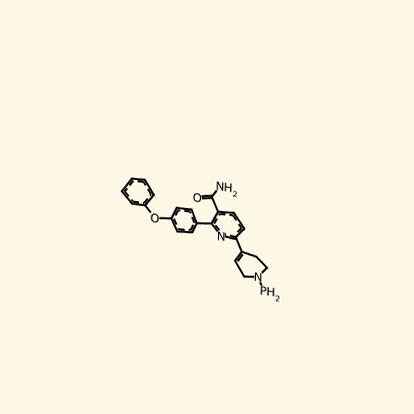 NC(=O)c1ccc(C2=CCN(P)CC2)nc1-c1ccc(Oc2ccccc2)cc1